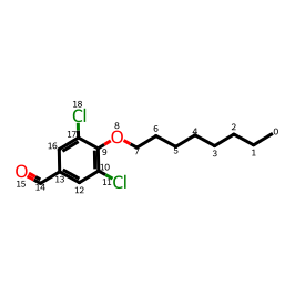 CCCCCCCCOc1c(Cl)cc(C=O)cc1Cl